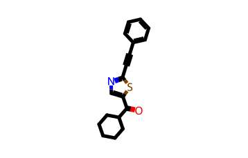 O=C(c1cnc(C#Cc2ccccc2)s1)C1CCCCC1